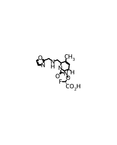 CC1=C[C@H]2CN(C(=O)N2O[C@@H](F)C(=O)O)C1CNCc1ncco1